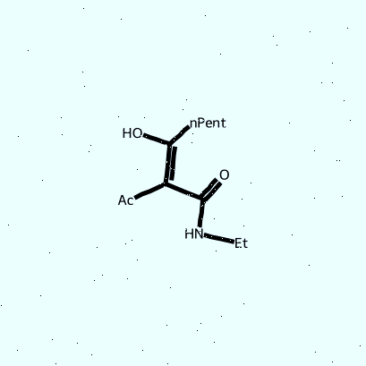 CCCCC/C(O)=C(/C(C)=O)C(=O)NCC